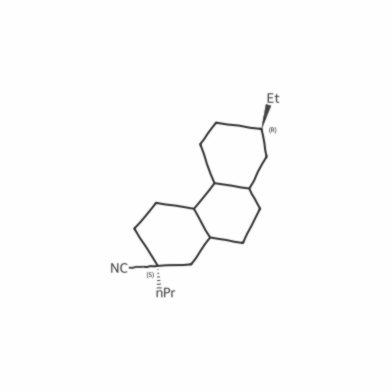 CCC[C@]1(C#N)CCC2C(CCC3C[C@H](CC)CCC32)C1